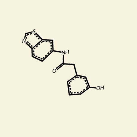 O=C(Cc1cccc(O)c1)Nc1ccc2ncsc2c1